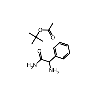 CC(=O)OC(C)(C)C.NC(=O)C(N)c1ccccc1